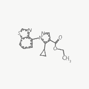 CCOC(=O)c1cnn(-c2cccc3scnc23)c1C1CC1